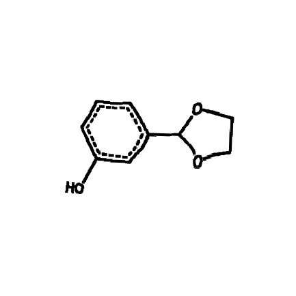 Oc1cccc(C2OCCO2)c1